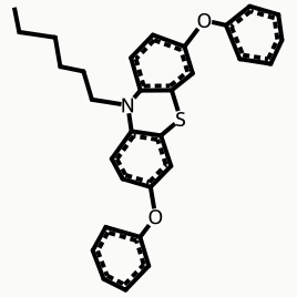 CCCCCCN1c2ccc(Oc3ccccc3)cc2Sc2cc(Oc3ccccc3)ccc21